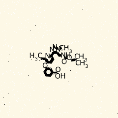 CCc1nc(-c2nnn(C)c2CNC(=O)OCC(C)C)ccc1O[C@H]1CCC[C@H](C(=O)O)C1